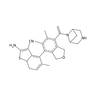 C=C(c1c(C)c(C)c(C2=C3C(C#N)=C(N)SC3CC=C2C)c2c1COC2)N1C2CNCC1C2